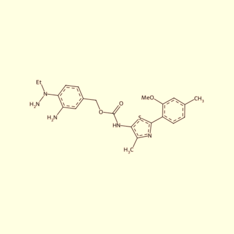 CCN(N)c1ccc(COC(=O)Nc2sc(-c3ccc(C)cc3OC)nc2C)cc1N